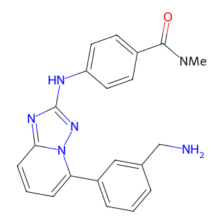 CNC(=O)c1ccc(Nc2nc3cccc(-c4cccc(CN)c4)n3n2)cc1